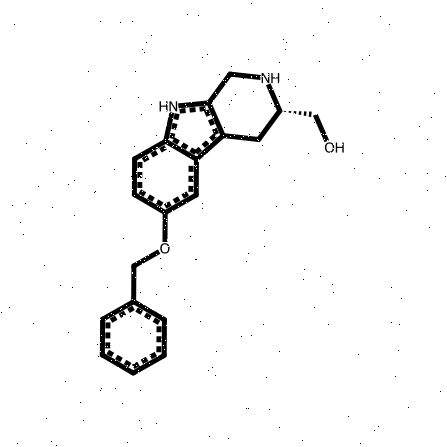 OC[C@@H]1Cc2c([nH]c3ccc(OCc4ccccc4)cc23)CN1